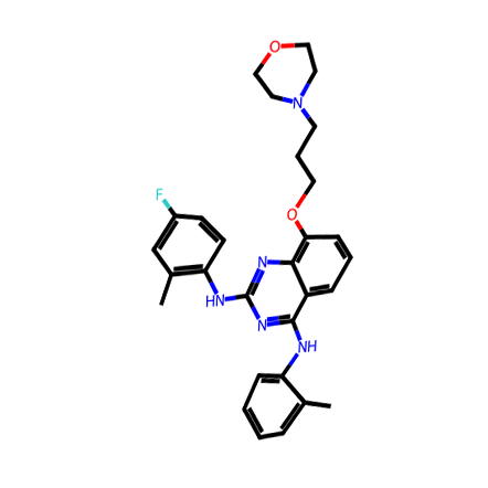 Cc1cc(F)ccc1Nc1nc(Nc2ccccc2C)c2cccc(OCCCN3CCOCC3)c2n1